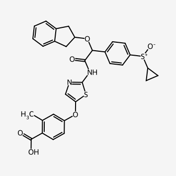 Cc1cc(Oc2cnc(NC(=O)C(OC3Cc4ccccc4C3)c3ccc([S+]([O-])C4CC4)cc3)s2)ccc1C(=O)O